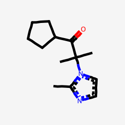 Cc1nccn1C(C)(C)C(=O)C1CCCC1